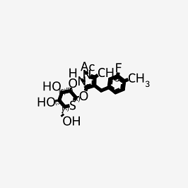 CC(=O)n1nc(O[C@@H]2S[C@H](CO)[C@@H](O)[C@H](O)[C@H]2O)c(Cc2ccc(C)c(F)c2)c1C